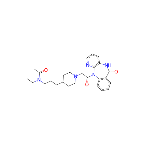 CCN(CCCC1CCN(CC(=O)N2c3ccccc3C(=O)Nc3cccnc32)CC1)C(C)=O